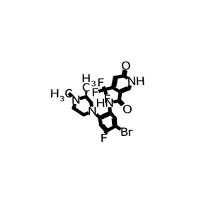 C[C@H]1CN(c2cc(F)c(Br)cc2NC(=O)c2c[nH]c(=O)cc2C(F)(F)F)CCN1C